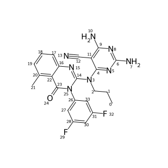 CCCN(c1nc(N)nc(N)c1C#N)c1nc2cccc(C)c2c(=O)n1-c1cc(F)cc(F)c1